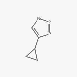 C1=C(C2CC2)P=P[N]1